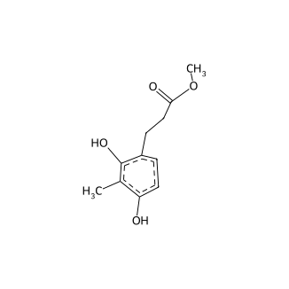 COC(=O)CCc1ccc(O)c(C)c1O